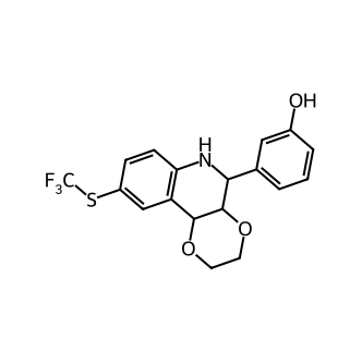 Oc1cccc(C2Nc3ccc(SC(F)(F)F)cc3C3OCCOC23)c1